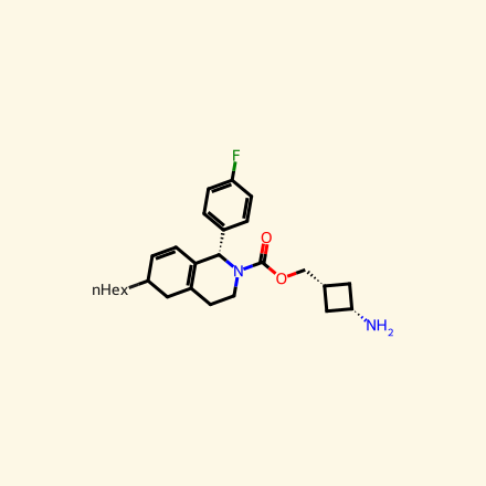 CCCCCCC1C=CC2=C(CCN(C(=O)OC[C@H]3C[C@@H](N)C3)[C@H]2c2ccc(F)cc2)C1